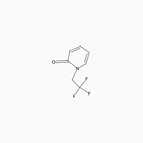 O=c1c[c]ccn1CC(F)(F)F